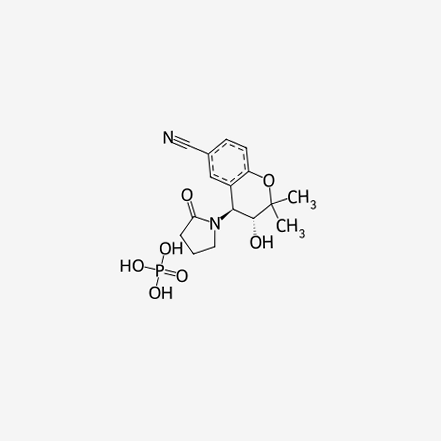 CC1(C)Oc2ccc(C#N)cc2[C@H](N2CCCC2=O)[C@H]1O.O=P(O)(O)O